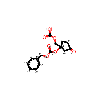 O=C1CCC(COC(=O)O)(OC(=O)OCc2ccccc2)C1